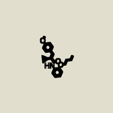 CCCCOc1ccccc1NC(=O)/C(=C/c1ccc(OC)cc1)C1CC1